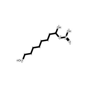 CCCCCCCCCCCCCCCC(O)O[P](=O)O